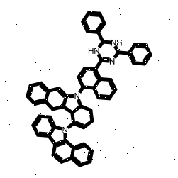 C1=CC2=C(C3=NC(c4ccccc4)NC(c4ccccc4)N3)C=CC(N3C4=Cc5ccccc5CC4C4C(n5c6ccccc6c6ccc7ccccc7c65)=CCCC43)C2C=C1